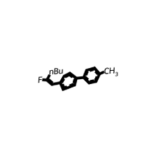 CCCC/C(F)=C\c1ccc(-c2ccc(C)cc2)cc1